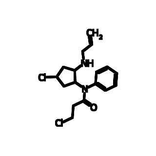 C=CCNC1CC(Cl)CC1N(C(=O)CCCl)c1ccccc1